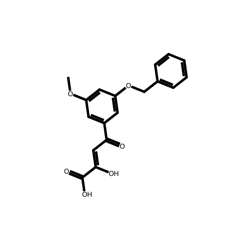 COc1cc(OCc2ccccc2)cc(C(=O)/C=C(\O)C(=O)O)c1